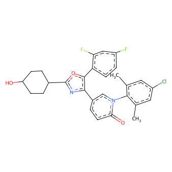 Cc1cc(Cl)cc(C)c1-n1cc(-c2nc(C3CCC(O)CC3)oc2-c2ccc(F)cc2F)ccc1=O